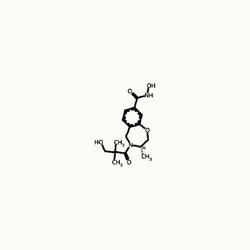 C[C@H]1COc2cc(C(=O)NO)ccc2CN1C(=O)C(C)(C)CO